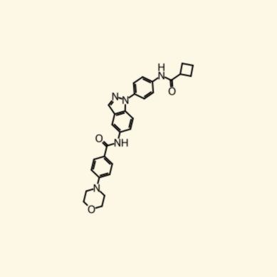 O=C(Nc1ccc2c(cnn2-c2ccc(NC(=O)C3CCC3)cc2)c1)c1ccc(N2CCOCC2)cc1